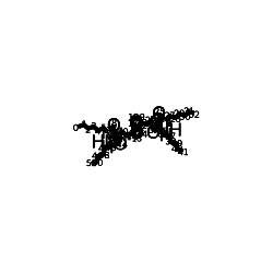 CCCCCCNC(=O)N(CCC1CCC2C1C1CCC2(CCN(C(=O)NCCCCCC)C(=O)NCCCCCC)C1)C(=O)NCCCCCC